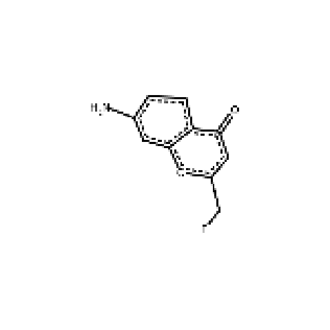 Nc1ccc2c(=O)cc(CF)oc2c1